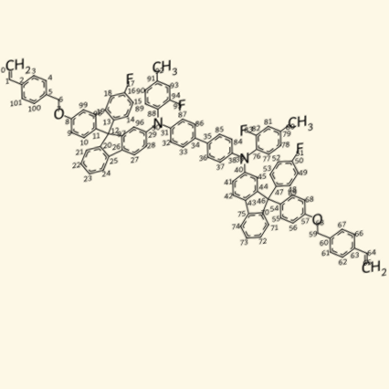 C=Cc1ccc(COc2ccc(C3(c4ccc(F)cc4)c4ccccc4-c4ccc(N(c5ccc(-c6ccc(N(c7ccc8c(c7)C(c7ccc(F)cc7)(c7ccc(OCc9ccc(C=C)cc9)cc7)c7ccccc7-8)c7ccc(C)cc7F)cc6)cc5)c5ccc(C)cc5F)cc43)cc2)cc1